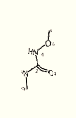 C[N]C(=O)NOC